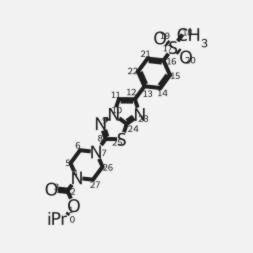 CC(C)OC(=O)N1CCN(c2nn3cc(-c4ccc(S(C)(=O)=O)cc4)nc3s2)CC1